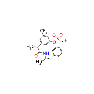 CC(Cc1ccccc1)NC(=O)C(C)c1cc(OS(=O)(=O)CF)cc(C(F)(F)F)c1